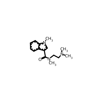 CN(C)CCN(C)C(=O)c1cn(C)c2ccccc12